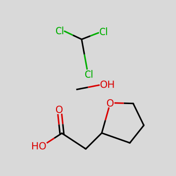 CO.ClC(Cl)Cl.O=C(O)CC1CCCO1